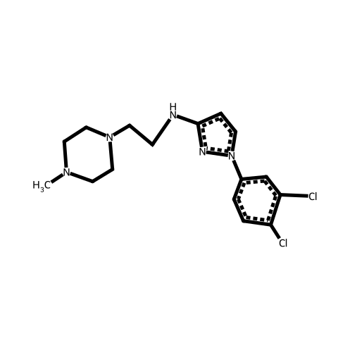 CN1CCN(CCNc2ccn(-c3ccc(Cl)c(Cl)c3)n2)CC1